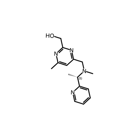 Cc1cc(CN(C)[C@@H](C)c2ccccn2)nc(CO)n1